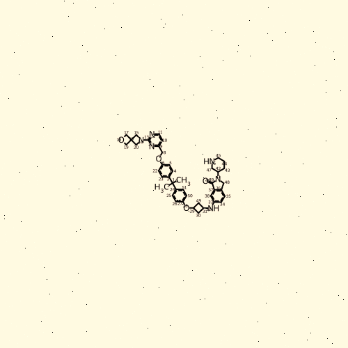 CC(C)(c1ccc(OCc2ccnc(N3CC4(COC4)C3)n2)cc1)c1ccc(OC2CC(Nc3ccc4c(c3)C(=O)N(C3CCCNC3)C4)C2)cc1